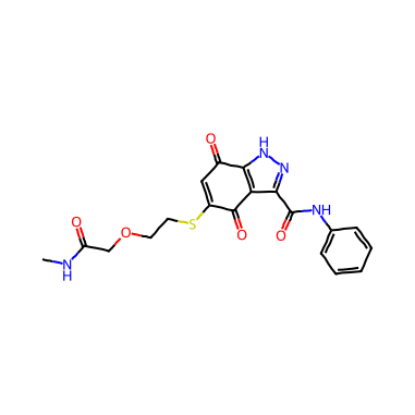 CNC(=O)COCCSC1=CC(=O)c2[nH]nc(C(=O)Nc3ccccc3)c2C1=O